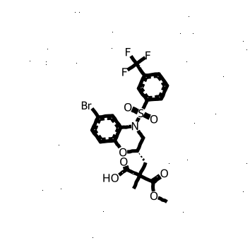 COC(=O)C(C)(C[C@H]1CN(S(=O)(=O)c2cccc(C(F)(F)F)c2)c2cc(Br)ccc2O1)C(=O)O